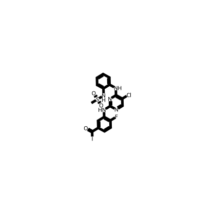 CS(=O)(=O)Nc1ccccc1Nc1nc(Nc2cc(C(=O)I)ccc2F)ncc1Cl